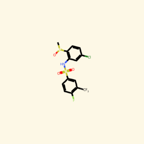 C[S+]([O-])c1ccc(Cl)cc1NS(=O)(=O)c1ccc(F)c(C(F)(F)F)c1